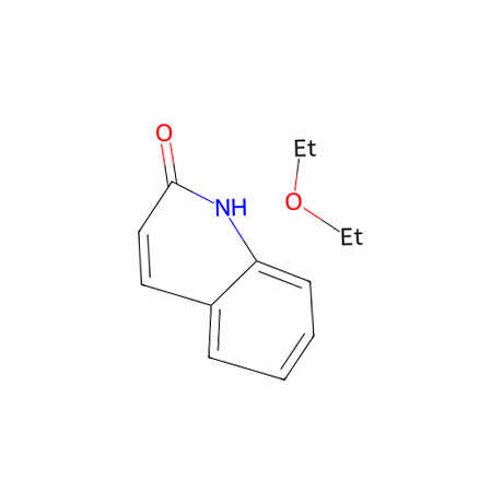 CCOCC.O=c1ccc2ccccc2[nH]1